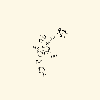 C[C@]1(c2cc(/C=C(\F)c3ccc(Cl)cn3)ccc2F)N=C(N(COCC[Si](C)(C)C)C(=O)O)S[C@@]2(CO)C[C@H]21